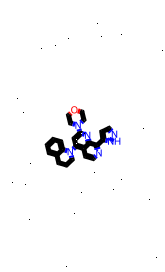 c1ccc2c(c1)CCCN2c1cc(N2CCOCC2)nc2c(-c3ccn[nH]3)nccc12